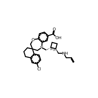 C=CCNC[C@@H]1CC[C@H]1CN1CC2(CCCc3cc(Cl)ccc32)COc2ccc(C(=O)O)cc21